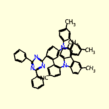 Cc1ccc2c(c1)c1cc(C)ccc1n2-c1ccc(-c2nc(-c3ccccc3)nc(-c3ccccc3)n2)c(-c2cc(C#N)ccc2-n2c3ccc(C)cc3c3cc(C)ccc32)c1